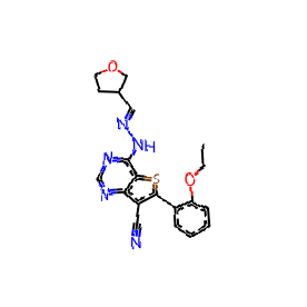 CCOc1ccccc1-c1sc2c(NN=CC3CCOC3)ncnc2c1C#N